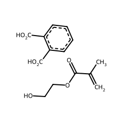 C=C(C)C(=O)OCCO.O=C(O)c1ccccc1C(=O)O